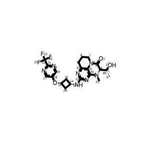 C[C@@H](O)[C@H]1C(=O)N2CCCc3nc(N[C@H]4C[C@@H](Oc5cnc(C(F)(F)F)nc5)C4)nc(c32)N1C